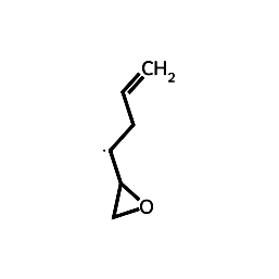 C=CC[CH]C1CO1